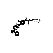 O=C(O)CCCNC(=O)c1ccc(-c2nc3ccc(C4(c5ccccc5)C=C4)nc3s2)c(F)c1